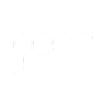 O=Cc1cccc2cc(OCC[18F])ccc12